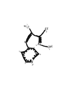 CCC(=NO)C(C)=Cc1ccncc1